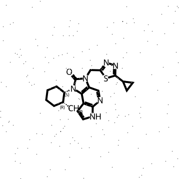 C[C@@H]1CCCC[C@@H]1n1c(=O)n(Cc2nnc(C3CC3)s2)c2cnc3[nH]ccc3c21